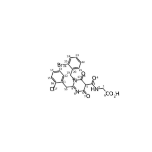 O=C(O)CNC(=O)C1C(=O)N=C(Cc2ccccc2Cl)N(Cc2ccccc2Br)C1=O